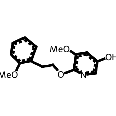 COc1ccccc1CCOc1ncc(O)cc1OC